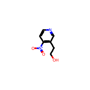 O=[N+]([O-])c1ccncc1CCO